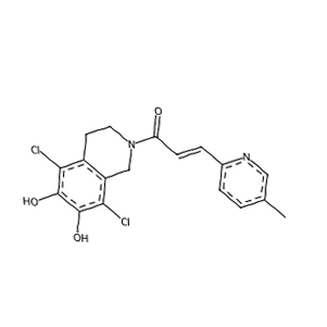 Cc1ccc(/C=C/C(=O)N2CCc3c(Cl)c(O)c(O)c(Cl)c3C2)nc1